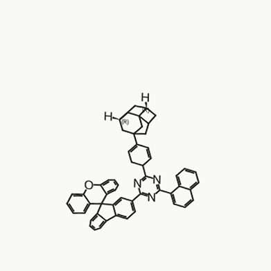 C1=CC(c2nc(-c3ccc4c(c3)C3(c5ccccc5Oc5ccccc53)c3ccccc3-4)nc(-c3cccc4ccccc34)n2)CC=C1C12CC3C[C@H]4C[C@@H](C1)CC34C2